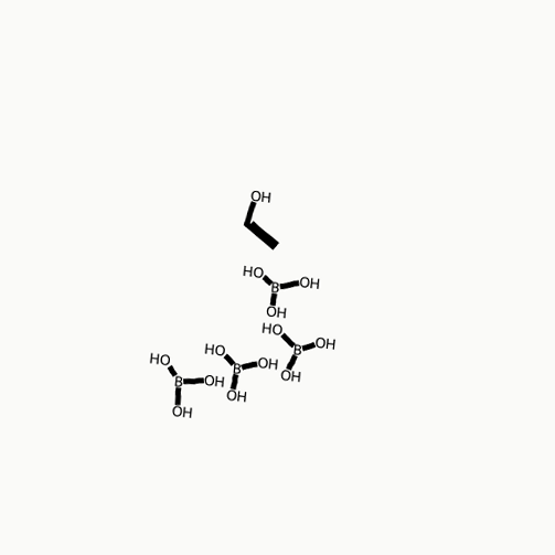 C=CO.OB(O)O.OB(O)O.OB(O)O.OB(O)O